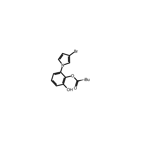 CC[C@H](C)C(=O)Oc1c(O)cccc1-n1ccc(Br)c1